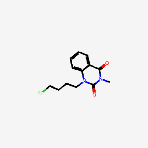 Cn1c(=O)c2ccccc2n(CCCCCl)c1=O